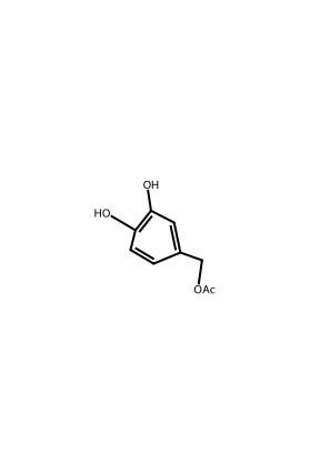 CC(=O)OCc1ccc(O)c(O)c1